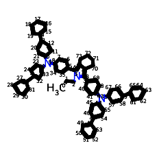 CCCn1c(-c2ccc(N(c3ccc(-c4ccccc4)cc3)c3ccc(-c4ccccc4)cc3)cc2)c2c(c1-c1ccc(N(c3ccc(-c4ccccc4)cc3)c3ccc(-c4ccccc4)cc3)cc1)CCCC2